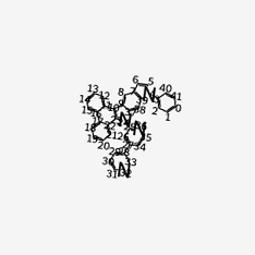 c1ccc(-n2ccc3cc4c5c6ccccc6c6ccccc6c5n(-c5cc(-c6cccnc6)ccn5)c4cc32)cc1